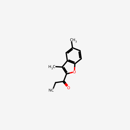 Cc1ccc2oc(C(=O)CC#N)c(C)c2c1